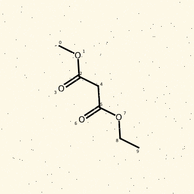 [CH2]OC(=O)CC(=O)OCC